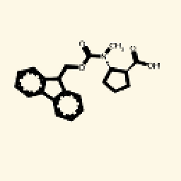 CN(C(=O)OCC1c2ccccc2-c2ccccc21)[C@H]1CCC[C@@H]1C(=O)O